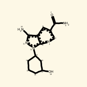 NC(=O)c1cnc2c(c1)c(N)nn2C1CCCC(O)C1